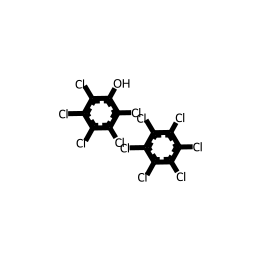 Clc1c(Cl)c(Cl)c(Cl)c(Cl)c1Cl.Oc1c(Cl)c(Cl)c(Cl)c(Cl)c1Cl